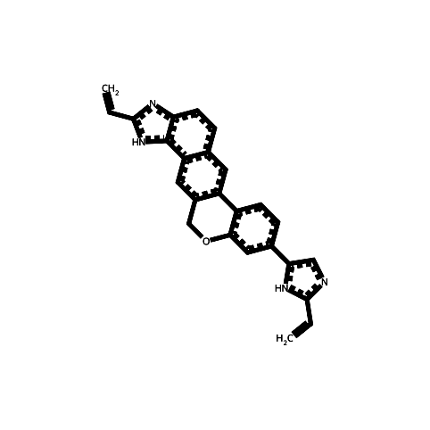 C=Cc1ncc(-c2ccc3c(c2)OCc2cc4c(ccc5nc(C=C)[nH]c54)cc2-3)[nH]1